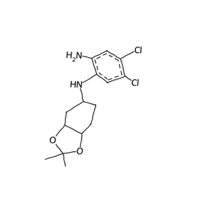 CC1(C)OC2CCC(Nc3cc(Cl)c(Cl)cc3N)CC2O1